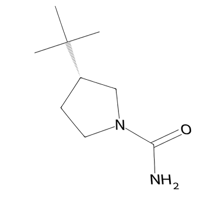 CC(C)(C)[C@H]1CCN(C(N)=O)C1